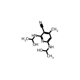 Cc1cc(NC(C)O)nc(NC(C)O)c1C#N